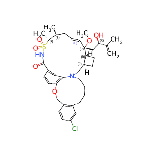 C=C(C)[C@H](O)C[C@]1(OC)/C=C/C[C@H](C)[C@@H](C)S(=O)(=O)NC(=O)c2ccc3c(c2)N(CCCCc2cc(Cl)ccc2CO3)C[C@@H]2CC[C@H]21